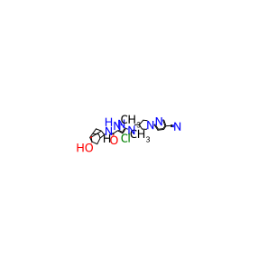 CN(CC1CCN(c2ccc(C#N)cn2)CC1)c1c(Cl)c(C(=O)N[C@H]2C3CC4CC2C[C@](O)(C4)C3)nn1C